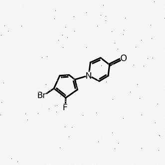 O=c1ccn(-c2ccc(Br)c(F)c2)cc1